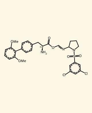 COc1cccc(OC)c1-c1ccc(C[C@H](N)C(=O)OC=NC2CCCN2S(=O)(=O)c2cc(Cl)cc(Cl)c2)cc1